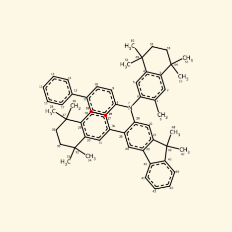 Cc1cc2c(cc1N(c1ccc(-c3ccccc3)cc1)c1cc3c(cc1-c1ccc4c(c1)C(C)(C)CCC4(C)C)-c1ccccc1C3(C)C)C(C)(C)CCC2(C)C